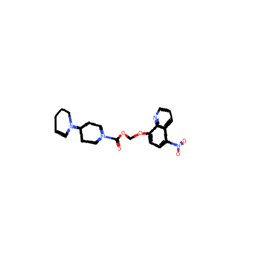 O=C(OCOc1ccc([N+](=O)[O-])c2cccnc12)N1CCC(N2CCCCC2)CC1